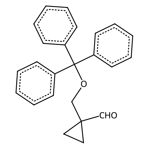 O=CC1(COC(c2ccccc2)(c2ccccc2)c2ccccc2)CC1